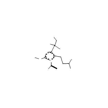 CCC(C)(C)c1nc(OC)n(C(N)=O)c1CCC(C)C